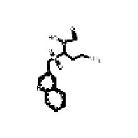 CCCC(N(O)C=O)S(=O)(=O)Cc1cnc2ccccc2c1